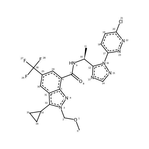 COCn1nc2c(C(=O)N[C@@H](C)c3ncnn3-c3ccc(Cl)nn3)cc(C(F)(F)F)cc2c1C1CC1